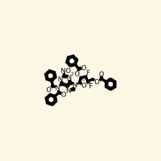 O=C(OC[C@@]1(F)O[C@@H](n2cnc3c(N(C(=O)c4ccccc4)C(=O)c4ccccc4)nc([N+](=O)[O-])nc32)[C@H](OC(=O)c2ccccc2)[C@@H]1F)c1ccccc1